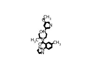 COc1cncc(N2CCN(C(=O)c3cc(C)ccc3-n3nccn3)[C@H](C)CO2)c1